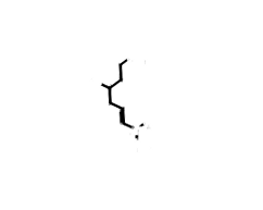 CCCC(C)C/C=C/N(C)C